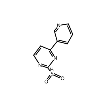 O=[SH](=O)c1nccc(-c2cccnc2)n1